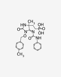 Cc1ccc(CON2C(=O)NC(C)(CCP(=O)(O)O)C2=NC(=O)Nc2ccccc2)cc1